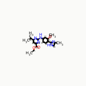 CCOC(=O)c1cc(C(C)C)nc(Nc2ccc(-c3nc(C)c[nH]3)c(OC)c2)n1